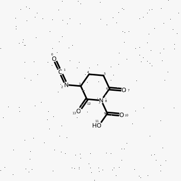 O=C=NC1CCC(=O)N(C(=O)O)C1=O